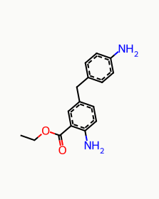 CCOC(=O)c1cc(Cc2ccc(N)cc2)ccc1N